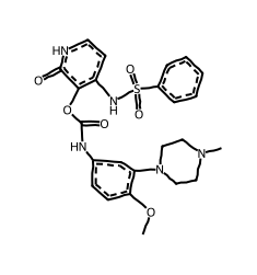 COc1ccc(NC(=O)Oc2c(NS(=O)(=O)c3ccccc3)cc[nH]c2=O)cc1N1CCN(C)CC1